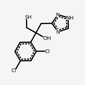 OC(CS)(Cc1nc[nH]n1)c1ccc(Cl)cc1Cl